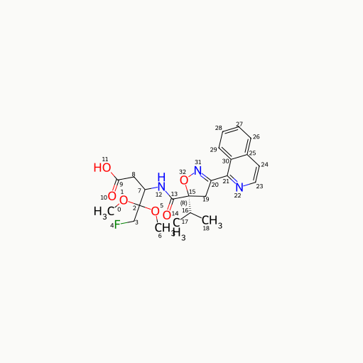 COC(CF)(OC)C(CC(=O)O)NC(=O)[C@]1(C(C)C)CC(c2nccc3ccccc23)=NO1